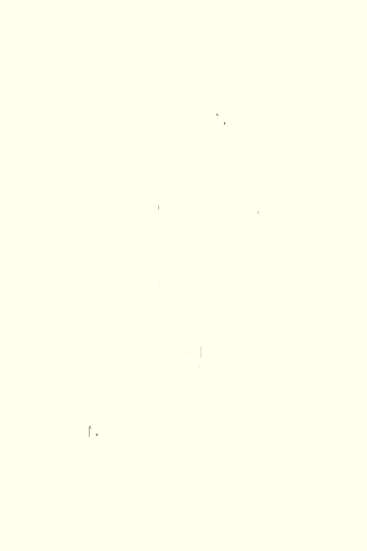 N#CC=C(Cl)SCC(Cl)(Cl)C#N